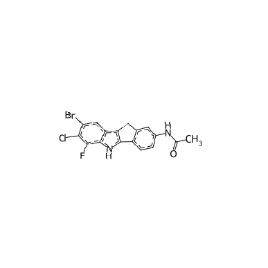 CC(=O)Nc1ccc2c(c1)Cc1c-2[nH]c2c(F)c(Cl)c(Br)cc12